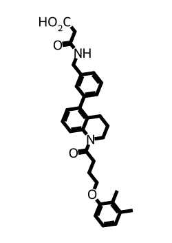 Cc1cccc(OCCCC(=O)N2CCCc3c(-c4cccc(CNC(=O)CC(=O)O)c4)cccc32)c1C